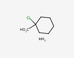 O=C(O)C1(Cl)CCCCC1.[InH3]